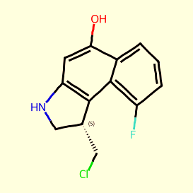 Oc1cc2c(c3c(F)cccc13)[C@H](CCl)CN2